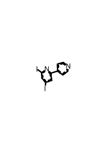 Ic1cc(I)nc(-c2ccncc2)c1